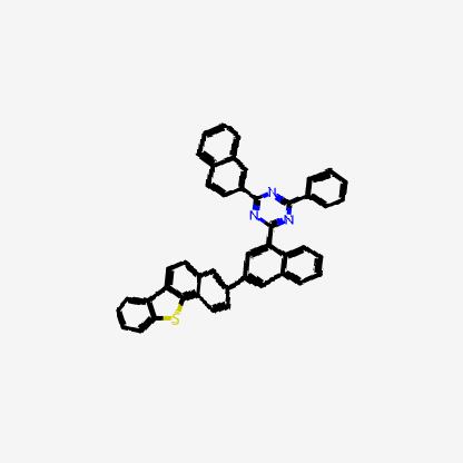 c1ccc(-c2nc(-c3ccc4ccccc4c3)nc(-c3cc(-c4ccc5c(ccc6c7ccccc7sc56)c4)cc4ccccc34)n2)cc1